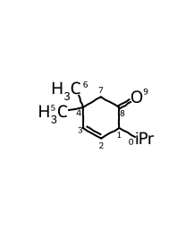 CC(C)C1C=CC(C)(C)CC1=O